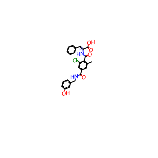 Cc1cc(C(=O)NCc2cccc(O)c2)cc(Cl)c1C(=O)N/C(=C\c1ccccc1)C(=O)O